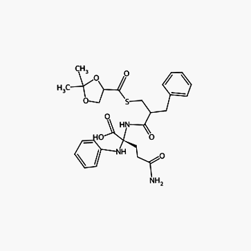 CC1(C)OCC(C(=O)SCC(Cc2ccccc2)C(=O)N[C@](CCC(N)=O)(Nc2ccccc2)C(=O)O)O1